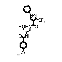 CCOc1ccc(C(=O)N[C@H](CO)CNC(=O)c2cn(-c3ccccc3)nc2C(F)(F)F)cc1